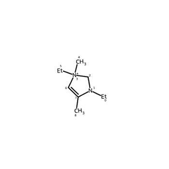 CCN1C[N+](C)(CC)C=C1C